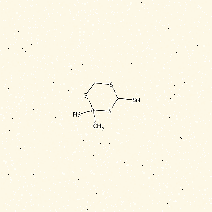 CC1(S)SCSC(S)S1